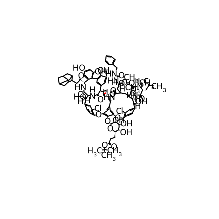 CC(C)C[C@H](C(=O)N[C@H]1C(=O)C[C@@H](CC(=O)NC(=O)NCc2ccccc2)C(=O)NC2C(=O)C[C@H]3C(=O)N[C@H](C(=O)N[C@H](C(=O)CC4C5CC6CC(C5)CC4C6)c4cc(O)cc(O)c4-c4cc3ccc4O)[C@H](O)c3ccc(c(Cl)c3)Oc3cc2cc(c3O[C@@H]2O[C@H](CCC(=O)OC(C)(C)C)[C@@H](O)[C@H](O)[C@H]2O)Oc2ccc(cc2Cl)[C@H]1O)N(C)C(=O)OC(C)(C)C